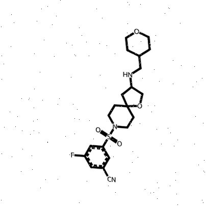 N#Cc1cc(F)cc(S(=O)(=O)N2CCC3(CC2)CC(NCC2CCOCC2)CO3)c1